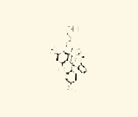 CN(C)c1ccc2c(c1)Oc1cc(N(C)C)ccc1C21c2ccccc2S(=O)(=O)N1CCOCCO